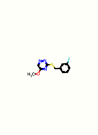 COc1cnnc(SCc2cccc(F)c2)n1